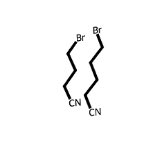 N#CCCCBr.N#CCCCCBr